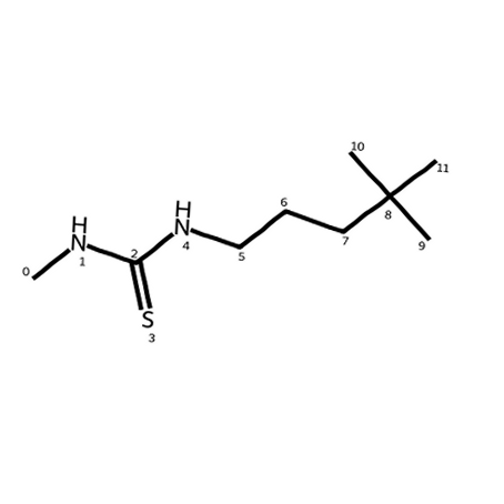 CNC(=S)NCCCC(C)(C)C